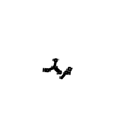 CO.O=[N+]([O-])O.[Cr]